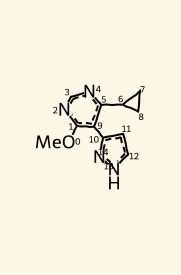 COc1ncnc(C2CC2)c1-c1cc[nH]n1